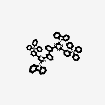 c1ccc([Si](c2ccccc2)(c2ccccc2)c2cccc(-c3cc(-n4c5ccccc5c5ccccc54)nc(-c4cccc(-c5cccc(-c6nc(-c7cccc([Si](c8ccccc8)(c8ccccc8)c8ccccc8)c7)nc(-n7c8ccccc8c8ccccc87)n6)c5)c4)n3)c2)cc1